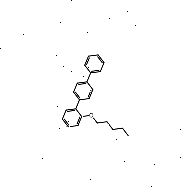 CCCCCOc1c[c]ccc1-c1ccc(-c2ccccc2)cc1